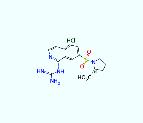 Cl.N=C(N)Nc1nccc2ccc(S(=O)(=O)N3CCC[C@@H]3C(=O)O)cc12